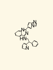 c1ccc(C(CNc2nc(-c3ccc4nccn4c3)nc3ccccc23)c2ccccn2)cc1